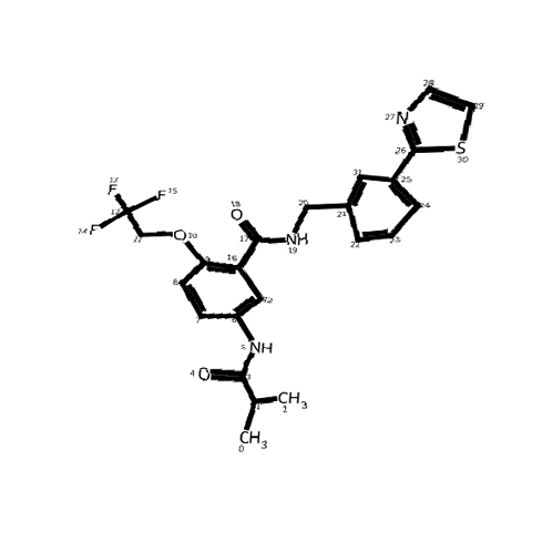 CC(C)C(=O)Nc1ccc(OCC(F)(F)F)c(C(=O)NCc2cccc(-c3nccs3)c2)c1